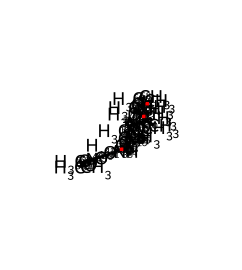 CCC(C)C(C(CC(=O)N1CCCC1C(OC)C(C)C(=O)N[C@@H](Cc1ccccc1)C(=O)N1CCC[C@@H]1C(=O)NCCOCCOCCNC(=O)OC(C)(C)C)OC)N(C)C(=O)[C@@H](NC(=O)C(C(C)C)N(C)C)C(C)C